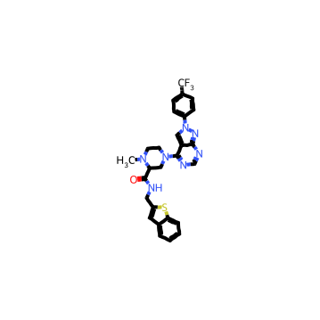 CN1CCN(c2ncnc3nn(-c4ccc(C(F)(F)F)cc4)cc23)CC1C(=O)NCc1cc2ccccc2s1